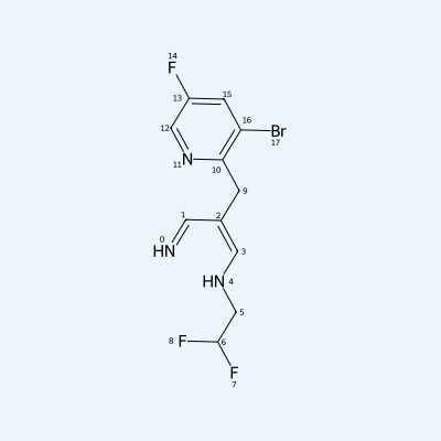 N=C/C(=C\NCC(F)F)Cc1ncc(F)cc1Br